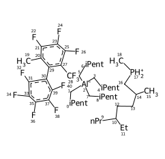 CCCC(C)[CH2][Al-]([CH2]C(C)CCC)([CH2]C(C)CCC)[CH2]C(C)CCC.CCCC(CC)CCC(C)C[PH2+]C.Cc1c(F)c(F)c(F)c(C(F)(F)F)c1-c1c(F)c(F)c(F)c(F)c1F